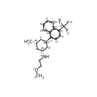 COCCN[C@@H]1C[C@H](C)C[C@@H](c2ccc(C(F)(F)F)c3nccnc23)C1